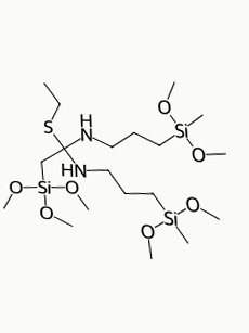 CCSC(C[Si](OC)(OC)OC)(NCCC[Si](C)(OC)OC)NCCC[Si](C)(OC)OC